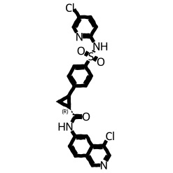 O=C(Nc1ccc2cncc(Cl)c2c1)[C@@H]1CC1c1ccc(S(=O)(=O)Nc2ccc(Cl)cn2)cc1